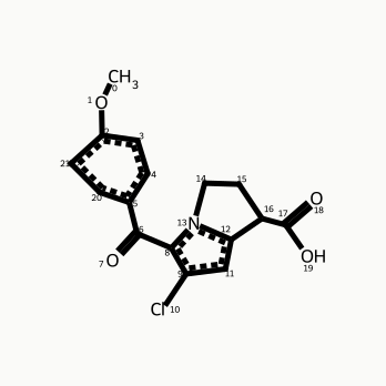 COc1ccc(C(=O)c2c(Cl)cc3n2CCC3C(=O)O)cc1